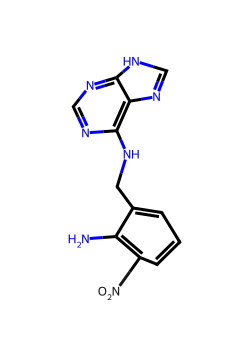 Nc1c(CNc2ncnc3[nH]cnc23)cccc1[N+](=O)[O-]